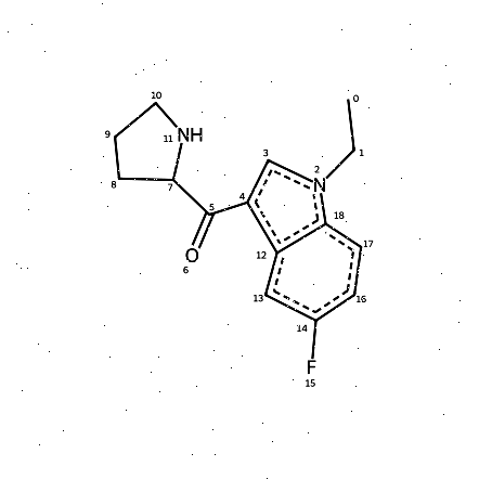 CCn1cc(C(=O)C2CCCN2)c2cc(F)ccc21